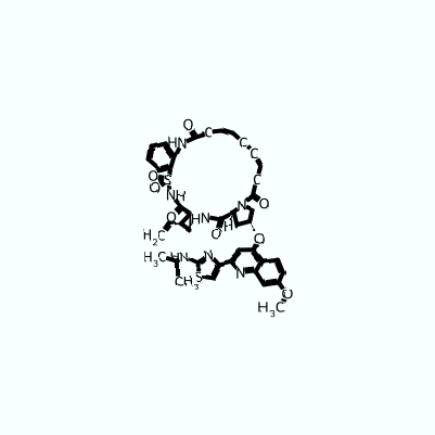 C=C[C@@H]1C[C@@]12NC(=O)[C@@H]1C[C@@H](Oc3cc(-c4csc(NC(C)C)n4)nc4cc(OC)ccc34)CN1C(=O)CCCCCCCC(=O)Nc1ccccc1S(=O)(=O)NC2=O